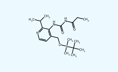 CCC(=O)NC(=O)Nc1c(CO[Si](C)(C)C(C)(C)C)ccnc1C(C)C